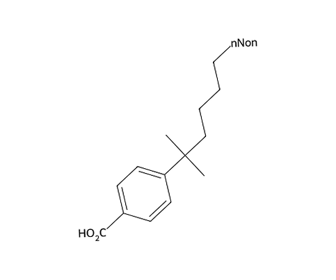 CCCCCCCCCCCCCC(C)(C)c1ccc(C(=O)O)cc1